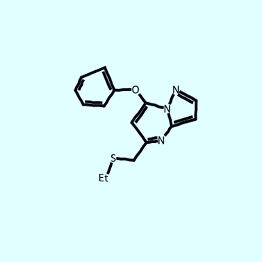 CCSCc1cc(Oc2ccccc2)n2nccc2n1